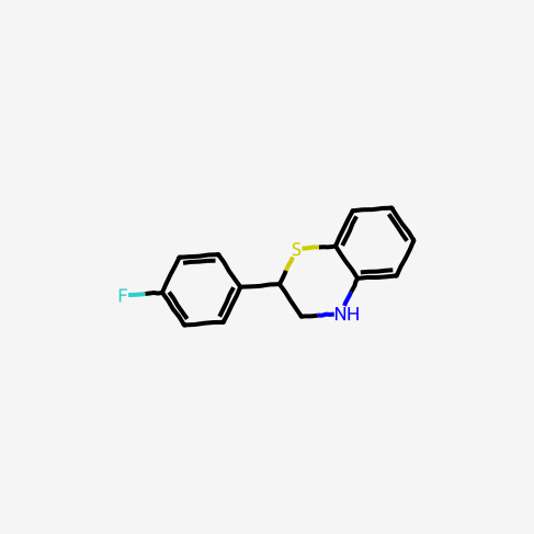 Fc1ccc(C2CNc3ccccc3S2)cc1